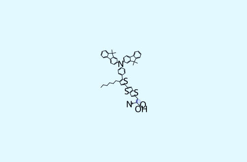 CCCCCCc1cc(-c2cc3sc(/C=C(\C#N)C(=O)O)cc3s2)sc1-c1ccc(N(c2ccc3c(c2)C(C)(C)c2ccccc2-3)c2ccc3c(c2)C(C)(C)c2ccccc2-3)cc1